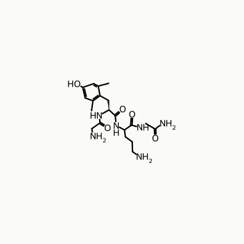 Cc1cc(O)cc(C)c1C[C@H](NC(=O)CN)C(=O)NC(CCCN)C(=O)NCC(N)=O